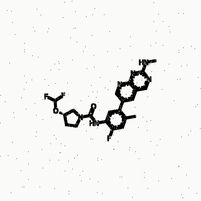 CNc1ncc2cc(-c3cc(NC(=O)N4CC[C@H](OC(F)F)C4)c(F)cc3C)cnc2n1